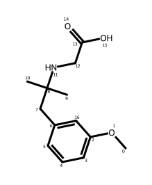 COc1cccc(CC(C)(C)NCC(=O)O)c1